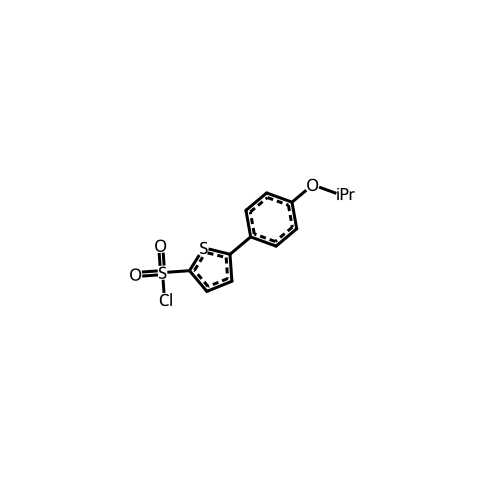 CC(C)Oc1ccc(-c2ccc(S(=O)(=O)Cl)s2)cc1